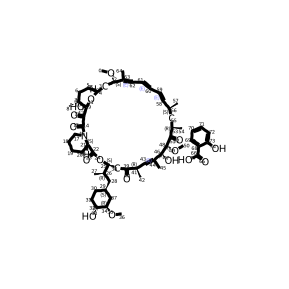 CO[C@H]1C[C@@H]2CC[C@@H](C)[C@@](O)(O2)C(=O)C(=O)N2CCCC[C@H]2C(=O)O[C@H]([C@H](C)C[C@@H]2CC[C@@H](O)[C@H](OC)C2)CC(=O)[C@H](C)/C=C(\C)[C@@H](O)[C@@H](OC)C(=O)[C@H](C)C[C@H](C)/C=C/C=C/C=C/1C.O=C(O)c1ccccc1O